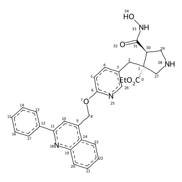 CCOC(=O)[C@@]1(Cc2ccc(OCc3cc(-c4ccccc4)nc4ccccc34)nc2)CNC[C@@H]1C(=O)NO